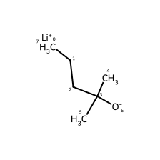 CCCC(C)(C)[O-].[Li+]